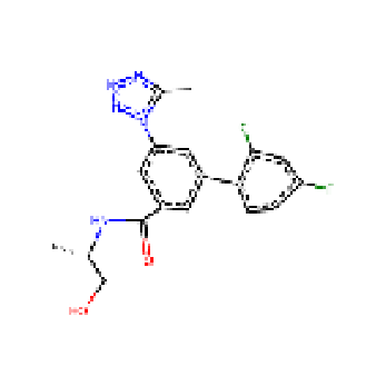 Cc1nnnn1-c1cc(C(=O)N[C@@H](C)CO)cc(-c2ccc(F)cc2Cl)c1